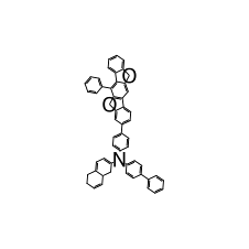 C1=CC2CC(N(c3ccc(-c4ccccc4)cc3)c3ccc(-c4ccc5c(c4)oc4c(-c6ccccc6)c6c(cc45)oc4ccccc46)cc3)=CC=C2CC1